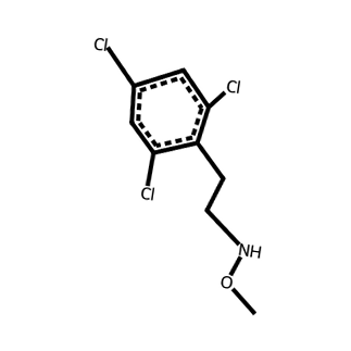 CONCCc1c(Cl)cc(Cl)cc1Cl